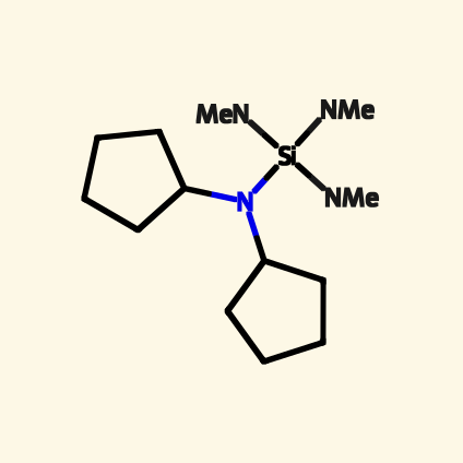 CN[Si](NC)(NC)N(C1CCCC1)C1CCCC1